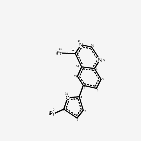 CC(C)c1ccc(-c2ccc3ncnc(C(C)C)c3c2)o1